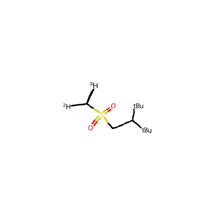 [2H]C([2H])S(=O)(=O)CC(C(C)(C)C)C(C)(C)C